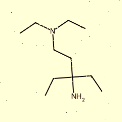 CCN(CC)CCC(N)(CC)CC